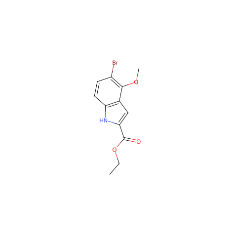 CCOC(=O)c1cc2c(OC)c(Br)ccc2[nH]1